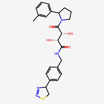 Cc1cccc(C2CCCN2C(=O)[C@H](O)[C@@H](O)C(=O)NCc2ccc(C3CSN=N3)cc2)c1